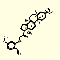 C[C@@]1(O)CC[C@@]2(C)[C@H](CC[C@@H]3[C@@H]2CC[C@]2(C)[C@@H](C(=O)CNc4cc(OC(F)(F)F)ccc4N=N)CC[C@@H]32)C1